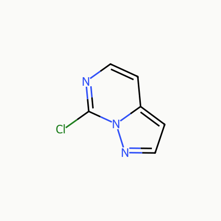 Clc1nccc2ccnn12